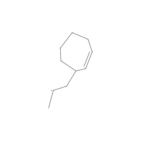 C[CH]CC1C=CCCCC1